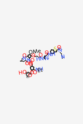 C=C1CC2C(O)N(C(=O)OCc3ccc(O[C@H]4C[C@@H](O)C[C@@H](C)O4)c(C(=O)NCC)c3)c3cc(OCCCC(=O)Nc4cc(C(=O)Nc5ccc6sc(C(=O)N(C)CCCN(C)C)cc6c5)n(C)c4)c(OC)cc3C(=O)N2C1